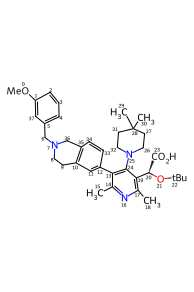 COc1cccc(CN2CCc3cc(-c4c(C)nc(C)c([C@H](OC(C)(C)C)C(=O)O)c4N4CCC(C)(C)CC4)ccc3C2)c1